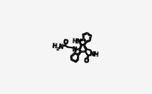 NC(=O)CCn1c2ccccc2c2c3c(c4c5ccccc5[nH]c4c21)CNC3=O